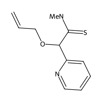 C=CCOC(C(=S)NC)c1ccccn1